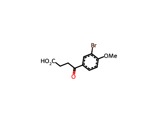 COc1ccc(C(=O)CCC(=O)O)cc1Br